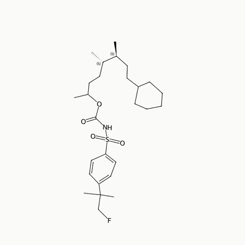 CC(CC[C@H](C)[C@@H](C)CCC1CCCCC1)OC(=O)NS(=O)(=O)c1ccc(C(C)(C)CF)cc1